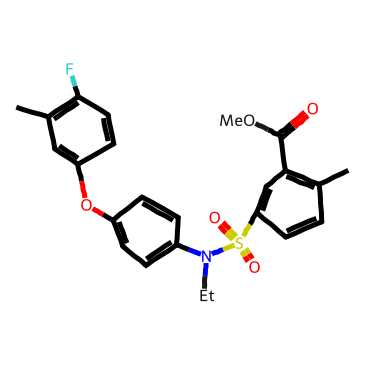 CCN(c1ccc(Oc2ccc(F)c(C)c2)cc1)S(=O)(=O)c1ccc(C)c(C(=O)OC)c1